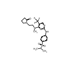 CN(CCN1CCCC1=O)c1nc(Nc2ccc(S(=O)(=O)N(C)C)cc2)ncc1C(F)(F)F